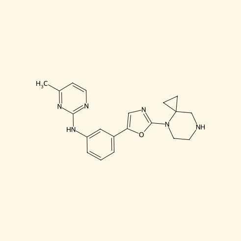 Cc1ccnc(Nc2cccc(-c3cnc(N4CCNCC45CC5)o3)c2)n1